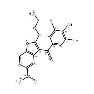 CCCCc1oc2ccc([S+](C)[O-])cc2c1C(=O)c1cc(I)c(O)c(I)c1